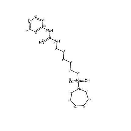 N=C(NCCCCCCS(=O)(=O)N1CCCCCC1)Nc1ccncc1